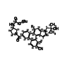 CC(C)(O)Cn1ncc2cc(-c3ccc(C(=O)N4CCC(NC(=O)OC(C)(C)C)C4)cc3-c3ccc(C#N)c(F)c3)c(F)cc21